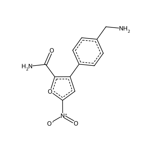 NCc1ccc(-c2cc([N+](=O)[O-])oc2C(N)=O)cc1